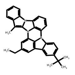 CCc1cc2c3c(c1)-n1c4c(cccc4n4c5ccccc5c(C)c14)B3c1ccc(C(C)(C)C)cc1-2